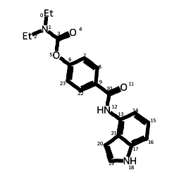 CCN(CC)C(=O)Oc1ccc(C(=O)Nc2cccc3[nH]ccc23)cc1